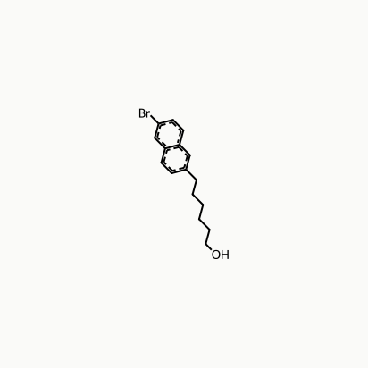 OCCCCCCc1ccc2cc(Br)ccc2c1